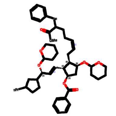 CCCC1CCC([C@@H](/C=C/[C@@H]2[C@@H](C/C=C\CCC([Se]c3ccccc3)C(=O)OC)[C@@H](OC3CCCCO3)C[C@H]2OC(=O)c2ccccc2)OC2CCCCO2)C1